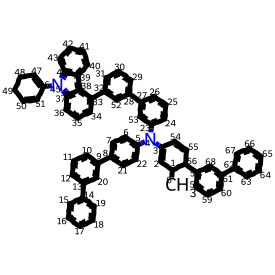 CC1C=C(N(c2ccc(-c3cccc(-c4ccccc4)c3)cc2)c2cccc(-c3cccc(-c4cccc5c4c4ccccc4n5C4=CCCC=C4)c3)c2)C=CC1c1cccc(-c2ccccc2)c1